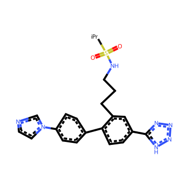 CC(C)S(=O)(=O)NCCCc1cc(-c2nnn[nH]2)ccc1-c1ccc(-n2ccnc2)cc1